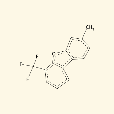 Cc1ccc2c(c1)oc1c(C(F)(F)F)cccc12